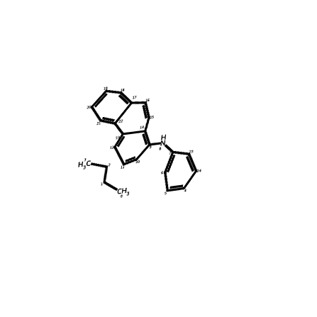 CCCC.c1ccc(Nc2cccc3c2ccc2ccccc23)cc1